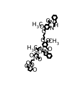 COc1cc2c(cc1OCCCOc1cc3c(cc1OC)C(=O)N1c4ccccc4CC1CN3CC(C)(C)SC1CC(=O)N(CCC(=O)ON3C(=O)CCC3=O)C1=O)N=C[C@@H]1Cc3ccccc3N1C2=O